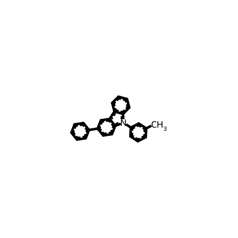 Cc1cccc(-n2c3ccccc3c3cc(-c4ccccc4)ccc32)c1